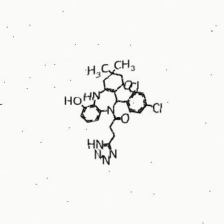 CC1(C)CC(=O)C2=C(C1)Nc1c(O)cccc1N(C(=O)CCc1nnn[nH]1)C2c1ccc(Cl)cc1Cl